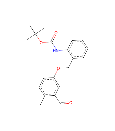 Cc1ccc(OCc2ccccc2NC(=O)OC(C)(C)C)cc1C=O